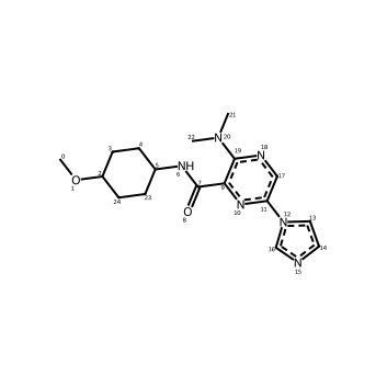 COC1CCC(NC(=O)c2nc(-n3ccnc3)cnc2N(C)C)CC1